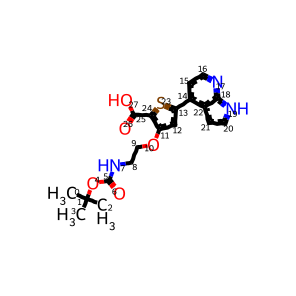 CC(C)(C)OC(=O)NCCOc1cc(-c2ccnc3[nH]ccc23)sc1C(=O)O